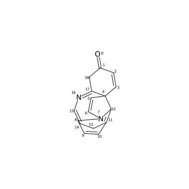 O=C1C=CC23C=CN4CC=CC(=C42)C/C=C\N=C/3C1